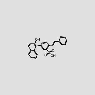 O=S(=O)(O)c1cc(-c2c(O)ccc3ccccc23)ccc1C=Cc1ccccc1